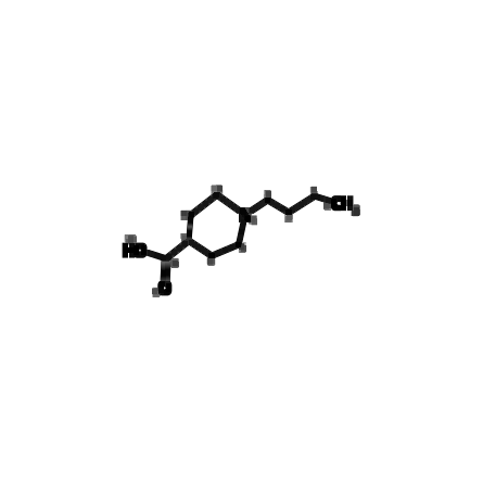 CCCCN1CCC(C(=O)O)CC1